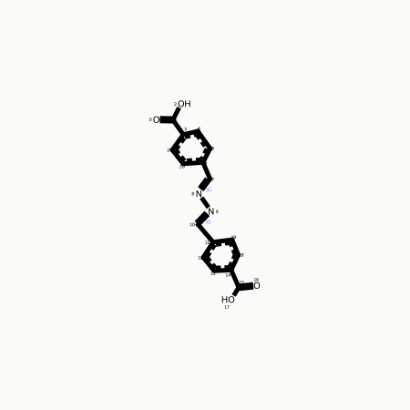 O=C(O)c1ccc(/C=N/N=C/c2ccc(C(=O)O)cc2)cc1